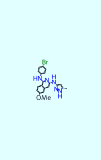 COc1ccc2c(Nc3ccc(Br)cc3)nc(Nc3cc(C)[nH]n3)cc2c1